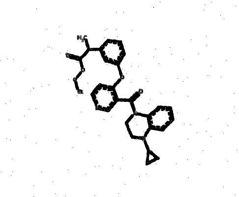 CCOOC(=O)C(C)c1cccc(Oc2ccncc2C(=O)N2CCN(C3CC3)c3ccccc32)c1